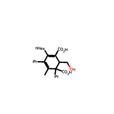 CCCCCCC1=C(C(=O)O)C(CO)C(C(=O)O)(C(C)C)C(C)=C1C(C)C